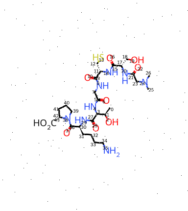 C[C@@H](O)[C@H](NC(=O)CNC(=O)[C@H](CS)NC(=O)[C@H](CO)NC(=O)CN(C)C)C(=O)N[C@@H](CCCCN)C(=O)N1CCC[C@H]1C(=O)O